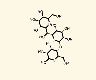 OC[C@H]1OC(C(O)[C@H]2O[C@@H](O[C@H]3[C@H](O)[C@@H](O)C(O)O[C@@H]3CO)[C@H](O)[C@@H](O)[C@H]2O)[C@H](O)[C@@H](O)[C@H]1O